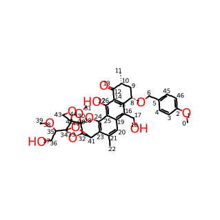 COc1ccc(CO[C@H]2C[C@@H](C)C(=O)c3c2c(CO)c2cc(C)c4c(c2c3O)OC2(OC)C3OC(C(CO)OC)(OC43)C23CO3)cc1